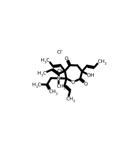 C=C(C)C[N+](C)(C)C1(C=CC)OC(=O)C(O)(C=CC)CC(=O)C1(C=CC)C=CC.[Cl-]